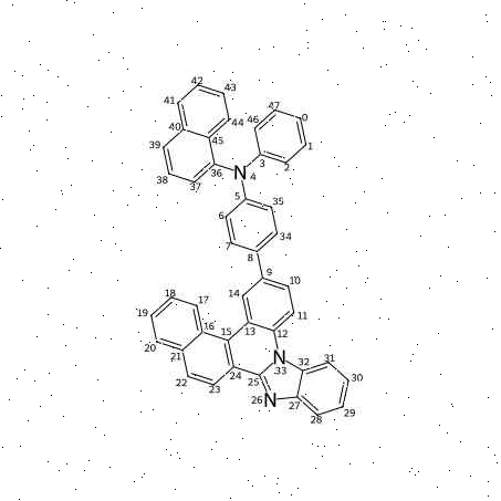 c1ccc(N(c2ccc(-c3ccc4c(c3)c3c5ccccc5ccc3c3nc5ccccc5n43)cc2)c2cccc3ccccc23)cc1